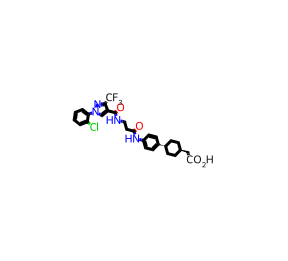 O=C(O)C[C@H]1CC[C@H](c2ccc(NC(=O)CCNC(=O)c3cn(-c4ccccc4Cl)nc3C(F)(F)F)cc2)CC1